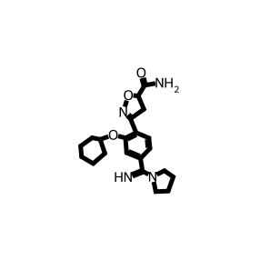 N=C(c1ccc(C2=NOC(C(N)=O)C2)c(OC2CCCCC2)c1)N1CCCC1